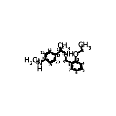 CCOc1ccccc1CNC(C)c1ccc(NC)cc1